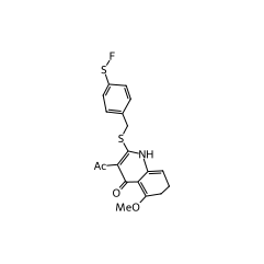 COC1=c2c([nH]c(SCc3ccc(SF)cc3)c(C(C)=O)c2=O)=CCC1